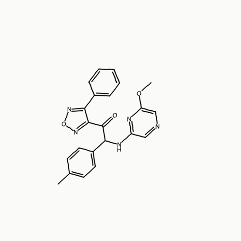 COc1cncc(NC(C(=O)c2nonc2-c2ccccc2)c2ccc(C)cc2)n1